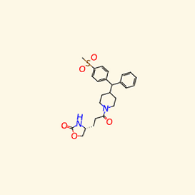 CS(=O)(=O)c1ccc(C(c2ccccc2)C2CCN(C(=O)CC[C@@H]3COC(=O)N3)CC2)cc1